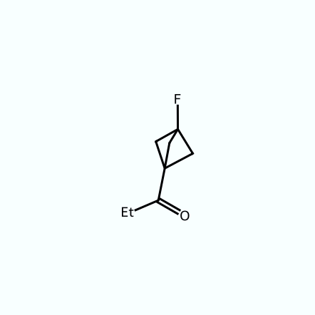 CCC(=O)C12CC(F)(C1)C2